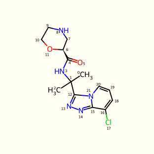 CC(C)(NC(=O)[C@@H]1CNCCO1)c1nnc2c(Cl)cccn12